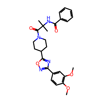 COc1ccc(-c2noc(C3CCN(C(=O)C(C)(C)NC(=O)c4ccccc4)CC3)n2)cc1OC